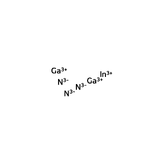 [Ga+3].[Ga+3].[In+3].[N-3].[N-3].[N-3]